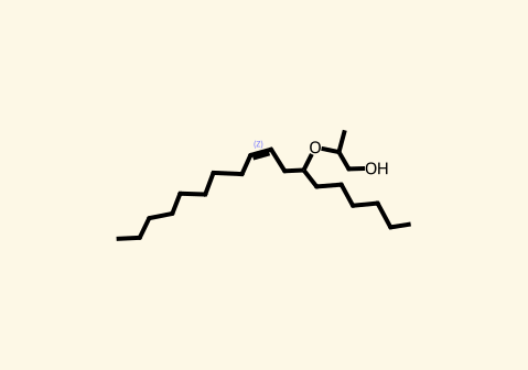 CCCCCCCC/C=C\CC(CCCCCC)OC(C)CO